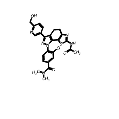 CC(=O)Nc1nc2c(s1)-c1c(c(-c3ccc(CO)nc3)nn1-c1ccc(C(=O)N(C)C)cc1Cl)CC2